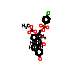 COC(=O)O[C@]1(C(=O)COS(=O)(=O)c2ccc(Cl)cc2)CC[C@H]2[C@@H]3CCC4=CC(=O)CC[C@]4(C)[C@H]3C(=O)C[C@@]21C